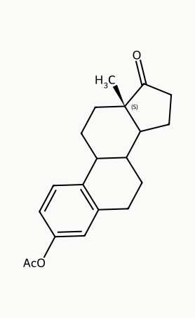 CC(=O)Oc1ccc2c(c1)CCC1C2CC[C@]2(C)C(=O)CCC12